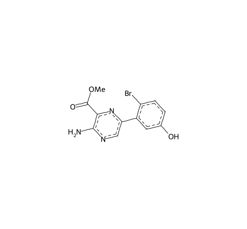 COC(=O)c1nc(-c2cc(O)ccc2Br)cnc1N